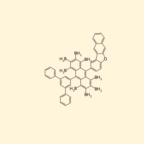 Bc1c(B)c(B)c2c(-c3ccc4oc5cc6ccccc6cc5c4c3)c3c(B)c(B)c(B)c(B)c3c(-c3cc(-c4ccccc4)cc(-c4ccccc4)c3)c2c1B